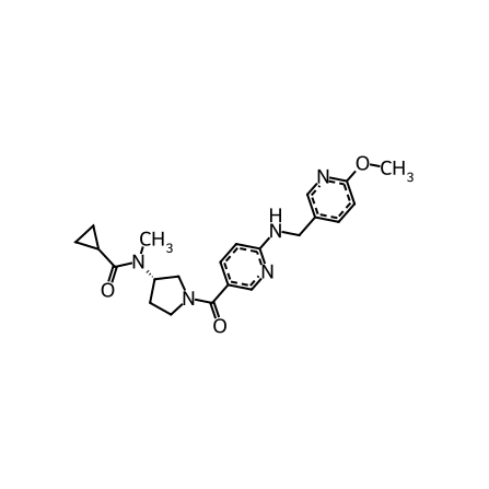 COc1ccc(CNc2ccc(C(=O)N3CC[C@H](N(C)C(=O)C4CC4)C3)cn2)cn1